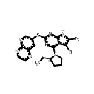 CCc1[nH]c2nc(Sc3cnc4nccnc4c3)nc(N3CCC[C@H]3CN)c2c1Cl